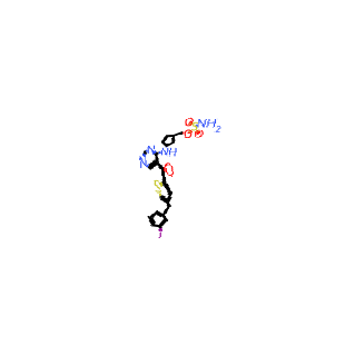 NS(=O)(=O)OCC1CC[C@H](Nc2ncncc2C(=O)c2cc(Cc3cccc(I)c3)cs2)C1